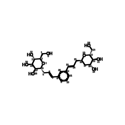 OC[C@H]1O[C@H](C/C=C/c2cccc(/C=C/C[C@@H]3C[C@@H](O)[C@H](O)[C@@H](CO)O3)c2)[C@@H](O)[C@@H](O)[C@@H]1O